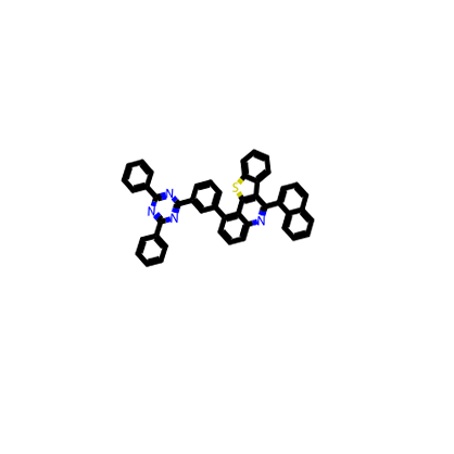 c1ccc(-c2nc(-c3ccccc3)nc(-c3cccc(-c4cccc5nc(-c6cccc7ccccc67)c6c7ccccc7sc6c45)c3)n2)cc1